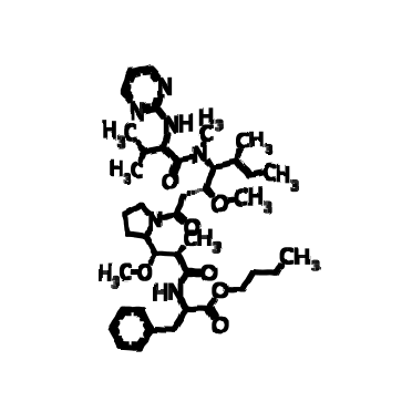 CCCCOC(=O)C(Cc1ccccc1)NC(=O)[C@H](C)[C@@H](OC)C1CCCN1C(=O)C[C@@H](OC)[C@H]([C@@H](C)CC)N(C)C(=O)C(Nc1ncccn1)C(C)C